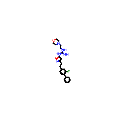 N=C(NCCN1CCOCC1)Nc1cc(CCc2ccc(-c3ccccc3)c(F)c2)no1